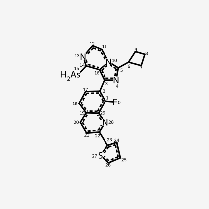 Fc1c(-c2nc(C3CCC3)n3ccnc([AsH2])c23)ccc2ccc(-c3cccs3)nc12